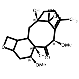 CO[C@H]1C(=O)[C@@]2(C)C(C[C@]3(O)CCC(C)=C1C3(C)C)C1COC1C[C@@H]2OC